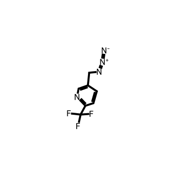 [N-]=[N+]=NCc1ccc(C(F)(F)F)nc1